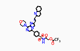 O=C(COC(=O)C(F)(F)F)NS(=O)(=O)c1ccc(-c2cnc(N3CCOCC3)c3nc(/C=C/c4ccc5ccccc5n4)cn23)cc1